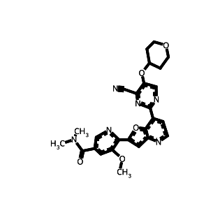 COc1cc(C(=O)N(C)C)cnc1-c1cc2nccc(-c3ncc(OC4CCOCC4)c(C#N)n3)c2o1